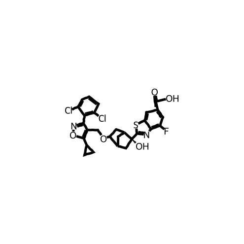 O=C(O)c1cc(F)c2nc([C@]3(O)CC4CC3CC4OCc3c(-c4c(Cl)cccc4Cl)noc3C3CC3)sc2c1